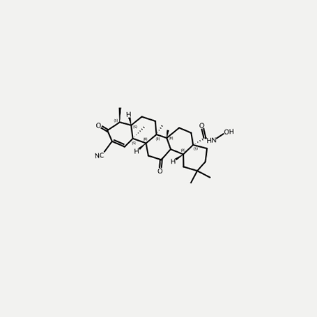 C[C@@H]1C(=O)C(C#N)=C[C@]2(C)[C@H]3CC(=O)C4[C@H]5CC(C)(C)CC[C@]5(C(=O)NO)CC[C@@]4(C)[C@]3(C)CC[C@@H]12